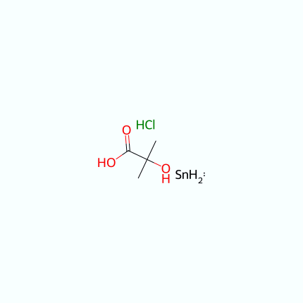 CC(C)(O)C(=O)O.Cl.[SnH2]